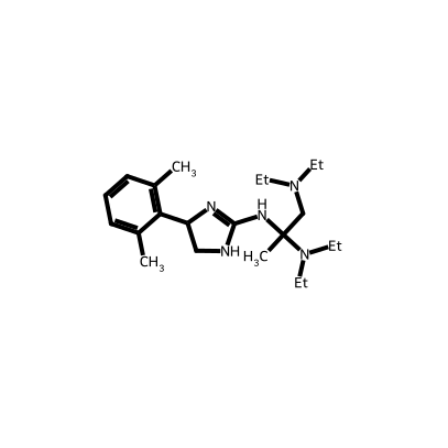 CCN(CC)CC(C)(NC1=NC(c2c(C)cccc2C)CN1)N(CC)CC